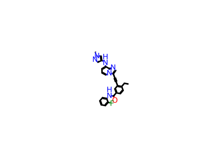 CCc1ccc(C(=O)Nc2ccccc2F)cc1C#Cc1cnc2c(Nc3cnn(C)c3)cccn12